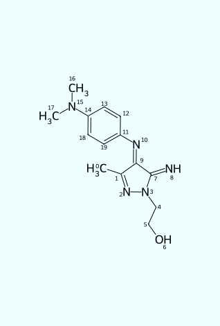 CC1=NN(CCO)C(=N)C1=Nc1ccc(N(C)C)cc1